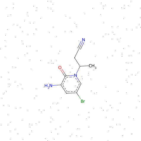 CC(CC#N)n1cc(Br)cc(N)c1=O